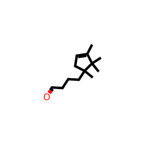 CC1=CCC(C)(CCCC=O)C1(C)C